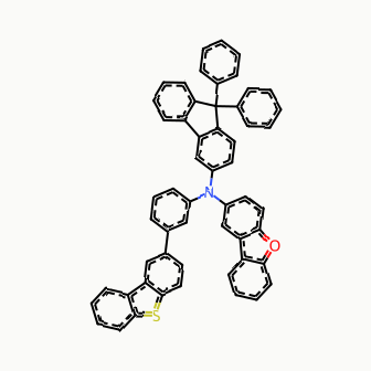 c1ccc(C2(c3ccccc3)c3ccccc3-c3cc(N(c4cccc(-c5ccc6sc7ccccc7c6c5)c4)c4ccc5oc6ccccc6c5c4)ccc32)cc1